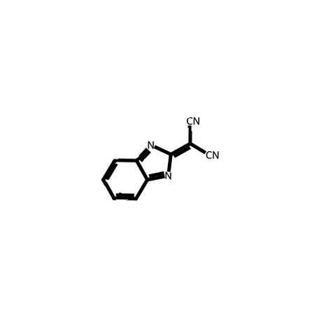 N#CC(C#N)=C1N=c2ccccc2=N1